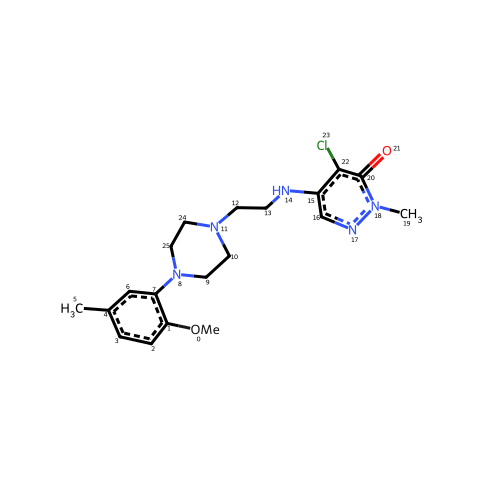 COc1ccc(C)cc1N1CCN(CCNc2cnn(C)c(=O)c2Cl)CC1